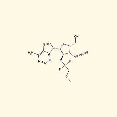 COCC(F)(F)O[C@@H]1C(N=[N+]=[N-])[C@@H](CO)O[C@H]1n1cnc2c(N)ncnc21